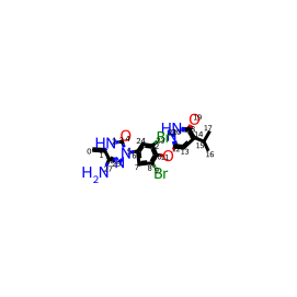 C=C1NC(=O)N(c2cc(Br)c(Oc3cc(C(C)C)c(=O)[nH]n3)c(Br)c2)N=C1N